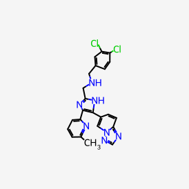 Cc1cccc(-c2nc(CNCc3ccc(Cl)c(Cl)c3)[nH]c2-c2ccc3ncnn3c2)n1